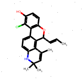 CC=CC1Oc2ccc(O)c(Cl)c2-c2ccc3c(c21)C(C)=CC(C)(C)N3